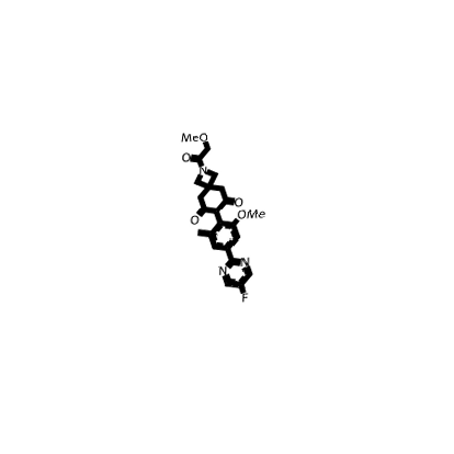 COCC(=O)N1CC2(CC(=O)C(c3c(C)cc(-c4ncc(F)cn4)cc3OC)C(=O)C2)C1